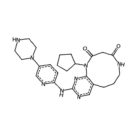 O=C1CC(=O)N(C2CCCC2)c2nc(Nc3ccc(N4CCNCC4)cn3)ncc2CCCN1